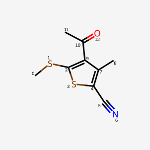 CSc1sc(C#N)c(C)c1C(C)=O